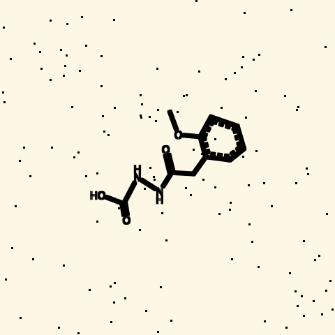 COc1ccccc1CC(=O)NNC(=O)O